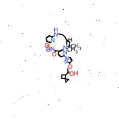 CC1(C)C[C@@H]2CCCNc3cccc(n3)S(=O)(=O)NC(=O)c3ccc(-n4ccc(OC[C@@H](O)C5CCC56CC6)n4)nc3N1C2